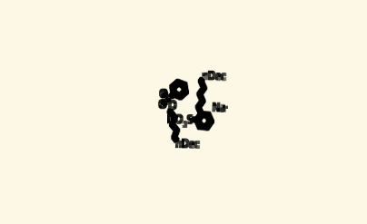 CCCCCCCCCCCCCCCOS(=O)(=O)c1ccccc1.CCCCCCCCCCCCCCCc1ccccc1S(=O)(=O)O.[Na]